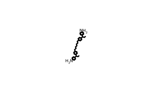 CCC(c1ccc(N)cc1)c1ccc(CCCCCCCc2ccc(C(CC)c3ccc(N)cc3)cc2)cc1